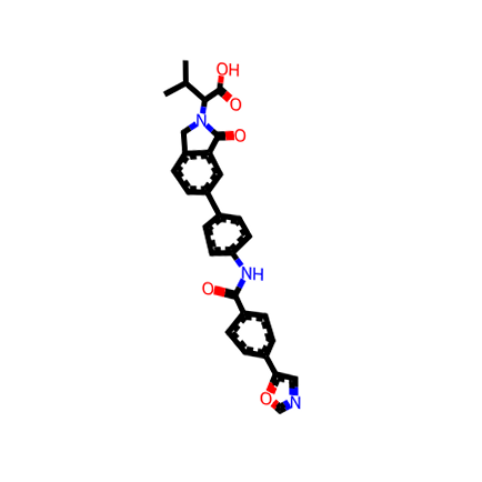 CC(C)C(C(=O)O)N1Cc2ccc(-c3ccc(NC(=O)c4ccc(-c5cnco5)cc4)cc3)cc2C1=O